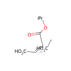 CC(=O)O.CC(C)OC(=O)/C=C\C(=O)O